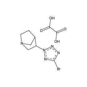 Brc1nnn(C2CN3CCC2C3)n1.O=C(O)C(=O)O